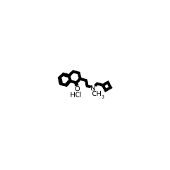 CN(CCC1CCc2ccccc2C1=O)CC1CCC1.Cl